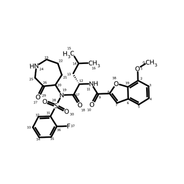 COc1cccc2cc(C(=O)N[C@@H](CC(C)C)C(=O)N(C3CCCNCC3=O)S(=O)(=O)c3ccccc3F)oc12